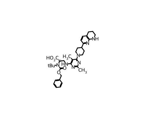 Cc1nc(NC[C@@H](C(=O)O)N(C(=O)OCc2ccccc2)C(C)(C)C)c(C)c(N2CCC(c3ccc4c(n3)NCCC4)CC2)n1